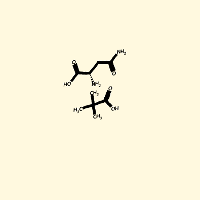 CC(C)(C)C(=O)O.NC(=O)C[C@H](N)C(=O)O